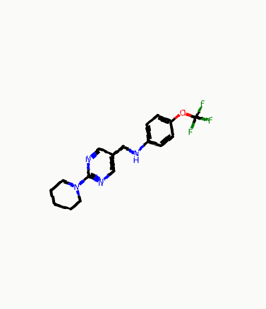 FC(F)(F)Oc1ccc(NCc2cnc(N3CCCCC3)nc2)cc1